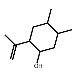 C=C(C)C1CC(C)C(C)CC1O